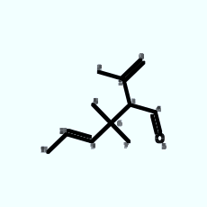 C=C(C)C(C=O)C(C)(C)C=CC